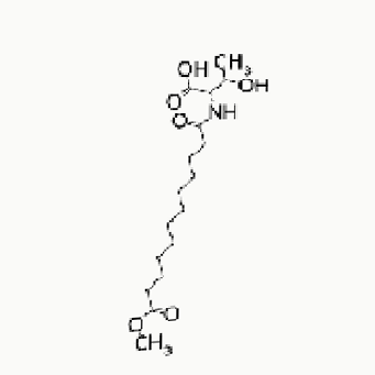 COC(=O)CCCCCCCCCCC(=O)N[C@H](C(=O)O)[C@@H](C)O